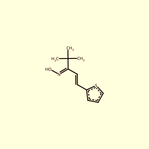 CC(C)(C)C(C=Cc1cccs1)=NO